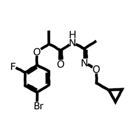 CC(=NOCC1CC1)NC(=O)C(C)Oc1ccc(Br)cc1F